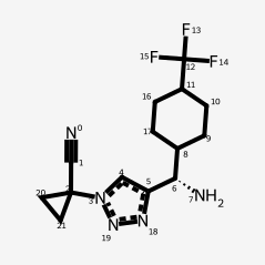 N#CC1(n2cc([C@@H](N)C3CCC(C(F)(F)F)CC3)nn2)CC1